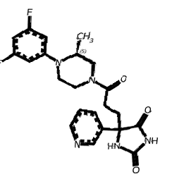 C[C@H]1CN(C(=O)CCC2(c3cccnc3)NC(=O)NC2=O)CCN1c1cc(F)cc(F)c1